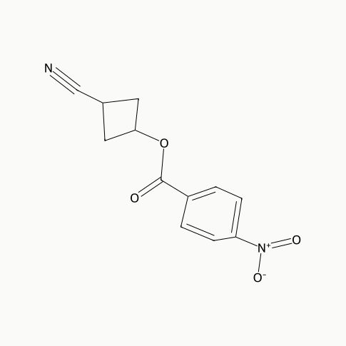 N#CC1CC(OC(=O)c2ccc([N+](=O)[O-])cc2)C1